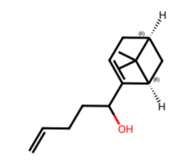 C=CCCC(O)C1=CC[C@H]2C[C@@H]1C2(C)C